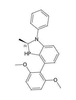 COc1cccc(OC)c1-c1cccc2c1P[C@@H](C)N2c1ccccc1